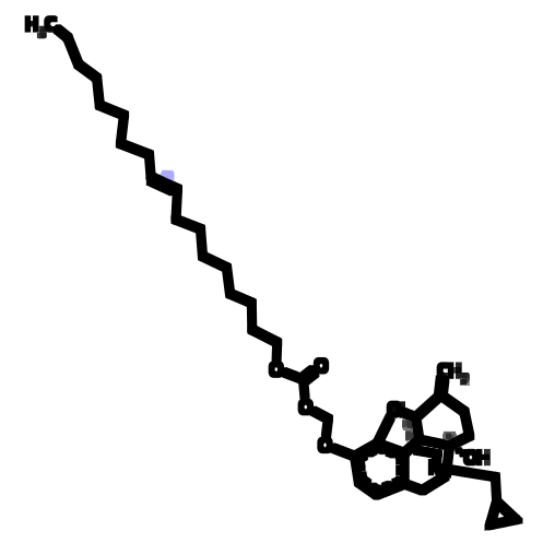 C=C1CC[C@@]2(O)C3Cc4ccc(OCOC(=O)OCCCCCCCC/C=C/CCCCCCCC)c5c4[C@@]2(CCN3CC2CC2)[C@H]1O5